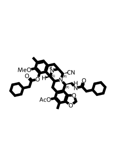 COc1c(C)cc2c(c1OC(=O)CC1CCCCC1)[C@H]1C3Cc4c(OC(C)=O)c(C)c5c(c4[C@H](CNC(=O)CC4CCCCC4)N3[C@@H](C#N)C(C2)N1C)OCO5